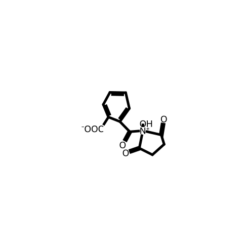 O=C([O-])c1ccccc1C(=O)[N+]1(O)C(=O)CCC1=O